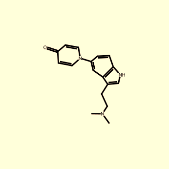 CN(C)CCc1c[nH]c2ccc(-n3ccc(=O)cc3)cc12